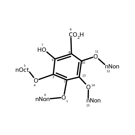 CCCCCCCCCOc1c(OCCCCCCCC)c(O)c(C(=O)O)c(OCCCCCCCCC)c1OCCCCCCCCC